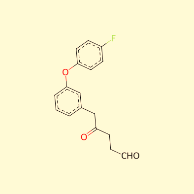 O=CCCC(=O)Cc1cccc(Oc2ccc(F)cc2)c1